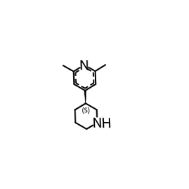 Cc1cc([C@@H]2CCCNC2)cc(C)n1